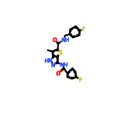 Cc1c(C(=O)NCc2ccc(F)cc2)sc2c(NC(=O)c3ccc(F)cc3)n[nH]c12